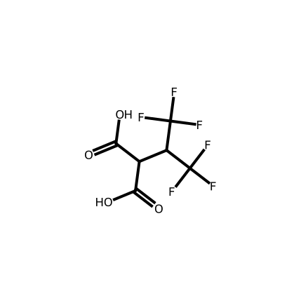 O=C(O)C(C(=O)O)C(C(F)(F)F)C(F)(F)F